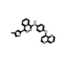 Cc1csc(-c2nnc(Nc3ccc(Oc4ccnc5cccnc45)cc3)c3ccccc23)c1